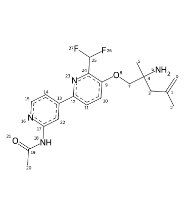 C=C(C)CC(C)(N)COc1ccc(-c2ccnc(NC(C)=O)c2)nc1C(F)F